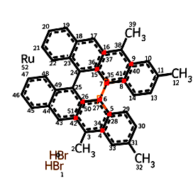 Br.Br.Cc1ccc(P(c2ccc(C)cc2)c2ccc3ccccc3c2-c2c(P(c3ccc(C)cc3)c3ccc(C)cc3)ccc3ccccc23)cc1.[Ru]